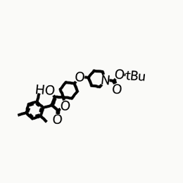 Cc1cc(C)c(C2=C(O)C3(CCC(OC4CCN(C(=O)OC(C)(C)C)CC4)CC3)OC2=O)c(C)c1